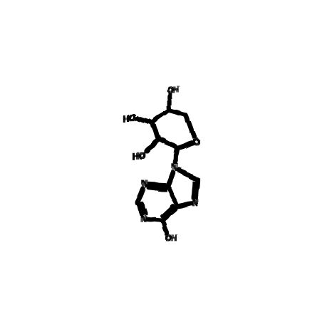 Oc1ncnc2c1ncn2C1OCC(O)C(O)C1O